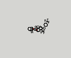 COC(=O)C1CC2CCC[C@@H](C1)N2CCc1ccc2c(C(F)(F)F)c(O[C@H]3CC[C@@H](C(F)(F)F)CC3)ccc2c1